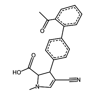 CC(=O)c1ccccc1-c1ccc(C2C(C#N)=CN(C)C2C(=O)O)cc1